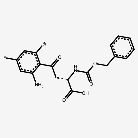 Nc1cc(F)cc(Br)c1C(=O)C[C@H](NC(=O)OCc1ccccc1)C(=O)O